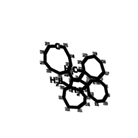 BC1(/C(=C(\C2(B)CCCCCCC2)C2(C)CCCCCCC2)C2CCCCCCCCC2)CCCCCCC1